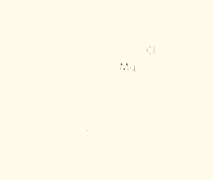 [Cl][Mg][C]1CCCCC1